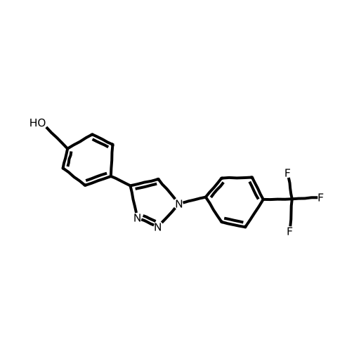 Oc1ccc(-c2cn(-c3ccc(C(F)(F)F)cc3)nn2)cc1